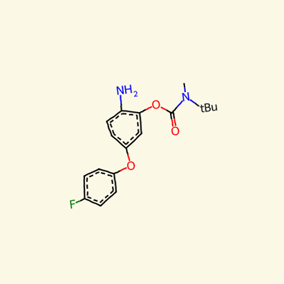 CN(C(=O)Oc1cc(Oc2ccc(F)cc2)ccc1N)C(C)(C)C